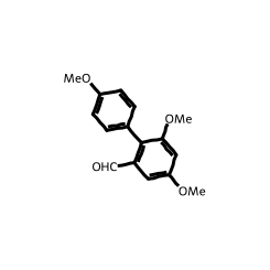 COc1ccc(-c2c(C=O)cc(OC)cc2OC)cc1